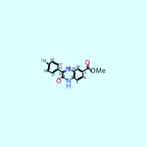 COC(=O)c1ccc2[nH]c(=O)c(-c3ccc(F)cc3)nc2c1